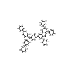 c1ccc(-c2ccc(N(c3ccc(-c4ccccc4)cc3)c3ccc(-c4cc(-c5ccccc5)c5sc6c(-c7ccccc7)cc(-c7ccccc7)cc6c5c4)cc3)cc2)cc1